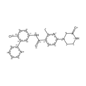 Cc1nc(N2CCNC(=O)C2)ccc1C(=O)Nc1ccc(Cl)c(-c2ccccn2)c1